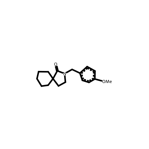 COc1ccc(CN2CCC3(CCCCC3)C2=O)cc1